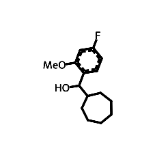 COc1cc(F)ccc1C(O)C1CCCCCC1